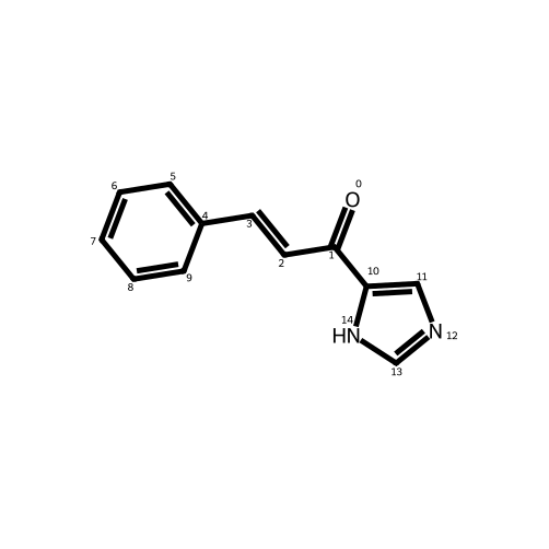 O=C(C=Cc1ccccc1)c1cnc[nH]1